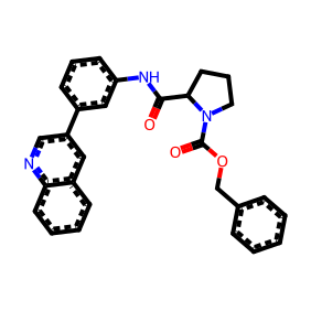 O=C(Nc1cccc(-c2cnc3ccccc3c2)c1)C1CCCN1C(=O)OCc1ccccc1